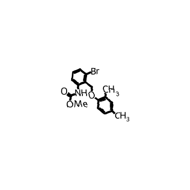 COC(=O)Nc1cccc(Br)c1COc1ccc(C)cc1C